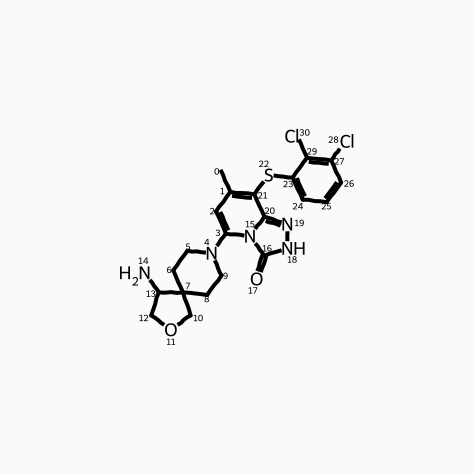 Cc1cc(N2CCC3(CC2)COCC3N)n2c(=O)[nH]nc2c1Sc1cccc(Cl)c1Cl